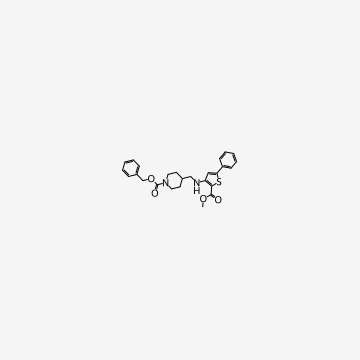 COC(=O)c1sc(-c2ccccc2)cc1NCC1CCN(C(=O)OCc2ccccc2)CC1